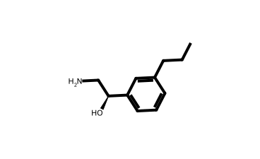 CCCc1cccc([C@@H](O)CN)c1